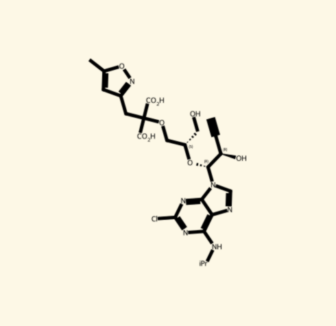 C#C[C@@H](O)[C@@H](O[C@@H](CO)COC(Cc1cc(C)on1)(C(=O)O)C(=O)O)n1cnc2c(NC(C)C)nc(Cl)nc21